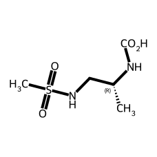 C[C@H](CNS(C)(=O)=O)NC(=O)O